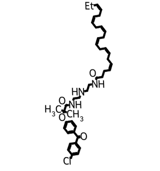 CC/C=C\C/C=C\C/C=C\C/C=C\C/C=C\C/C=C\CCC(=O)NCCNCCNC(=O)C(C)(C)Oc1ccc(C(=O)c2ccc(Cl)cc2)cc1